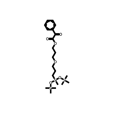 C[Si](C)(C)O[Si](C)(CCCOCCCOC(=O)C(=O)c1ccccc1)O[Si](C)(C)C